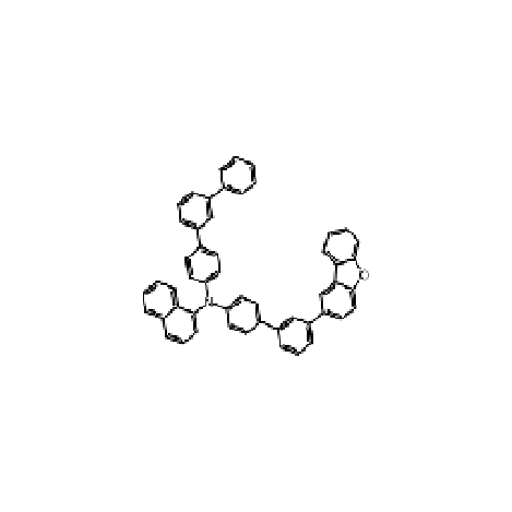 c1ccc(-c2cccc(-c3ccc(N(c4ccc(-c5cccc(-c6ccc7oc8ccccc8c7c6)c5)cc4)c4cccc5ccccc45)cc3)c2)cc1